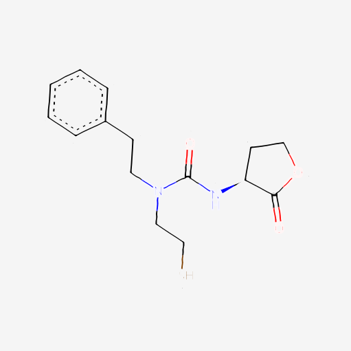 O=C1OCC[C@@H]1NC(=O)N(CCS)CCc1ccccc1